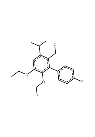 CCOc1cc(C(C)C)c(CCl)c(-c2ccc(F)cc2)c1OCC